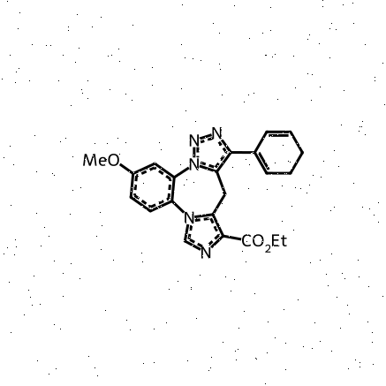 CCOC(=O)c1ncn2c1Cc1c(C3=CCCC=C3)nnn1-c1cc(OC)ccc1-2